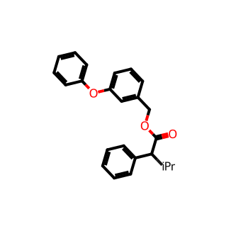 CC(C)C(C(=O)OCc1cccc(Oc2ccccc2)c1)c1ccccc1